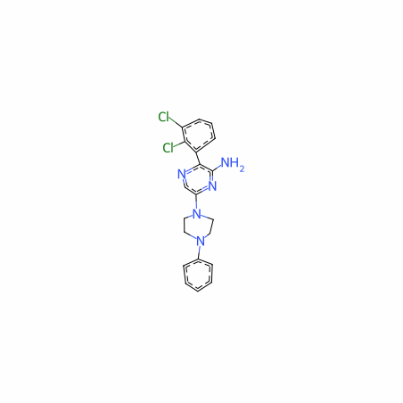 Nc1nc(N2CCN(c3ccccc3)CC2)cnc1-c1cccc(Cl)c1Cl